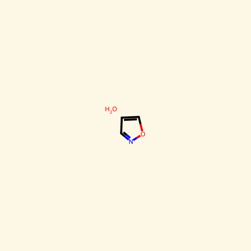 O.c1cnoc1